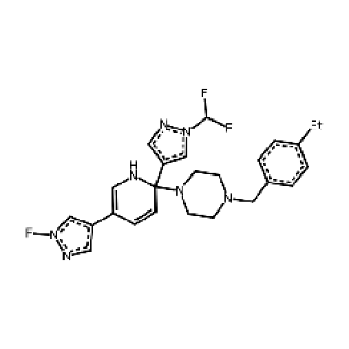 CCc1ccc(CN2CCN(C3(c4cnn(C(F)F)c4)C=CC(c4cnn(F)c4)=CN3)CC2)cc1